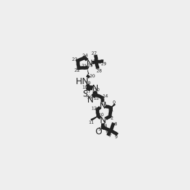 C[C@H]1CN(C(=O)C(C)(C)C)[C@@H](C)CN1Cc1nsc(NC[C@@H]2CCCN2C(C)(C)C)n1